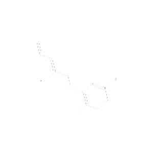 C=C/C=C(\C=O)COc1cc(N)ccc1C